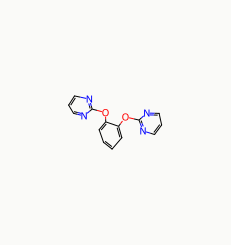 c1cnc(Oc2ccccc2Oc2ncccn2)nc1